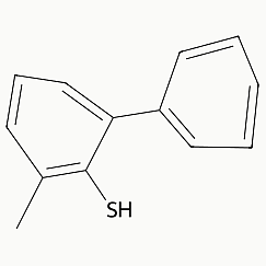 Cc1cccc(-c2ccccc2)c1S